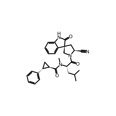 CC(C)C[C@@H](C(=O)N1C[C@]2(C[C@H]1C#N)C(=O)Nc1ccccc12)N(C)C(=O)[C@@H]1C[C@H]1c1ccccc1